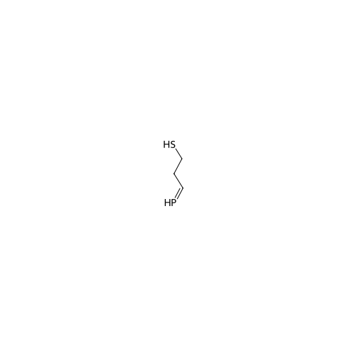 P=CCCS